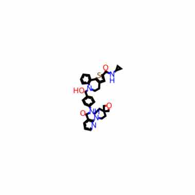 O=C(NC1CC1)c1cc2c(s1)-c1ccccc1N(C(O)c1ccc(NC(=O)c3cccnc3N3CCC4(CC3)COC4)cc1)CC2